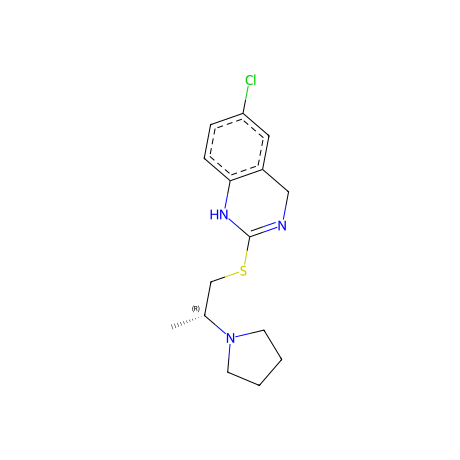 C[C@H](CSC1=NCc2cc(Cl)ccc2N1)N1CCCC1